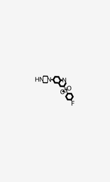 O=S(=O)(c1ccc(F)cc1)c1cnc2ccc(N3CCNCC3)cc2c1